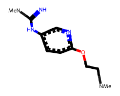 CNCCOc1ccc(NC(=N)NC)cn1